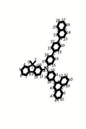 CC1(C)c2ccccc2-c2ccc(N(c3ccc(-c4ccc(-c5ccc6ccccc6c5)cc4)cc3)c3ccc(-c4cc5ccccc5c5ccccc45)cc3)cc21